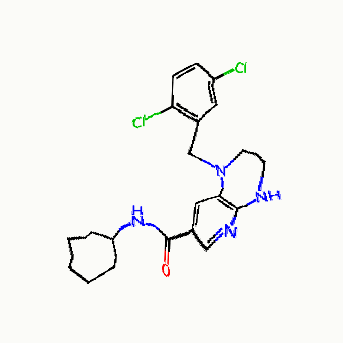 O=C(NC1CCCCC1)c1cnc2c(c1)N(Cc1cc(Cl)ccc1Cl)CCN2